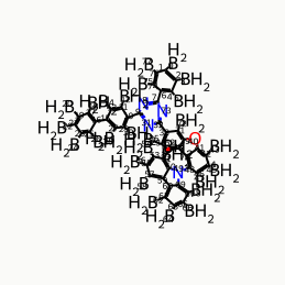 Bc1c(B)c(B)c(-c2nc(-c3c(B)c(B)c(-c4c(B)c(B)c(B)c(B)c4B)c(B)c3B)nc(-c3c(B)c(B)c4c(oc5c(B)c(B)c(B)c(-n6c7c(B)c(B)c(B)c(B)c7c7c(B)c(B)c(B)c(B)c76)c54)c3B)n2)c(B)c1B